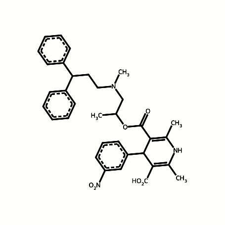 CC1=C(C(=O)O)C(c2cccc([N+](=O)[O-])c2)C(C(=O)OC(C)CN(C)CCC(c2ccccc2)c2ccccc2)=C(C)N1